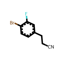 N#CCCc1ccc(Br)c(F)c1